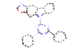 c1ccc(-c2nc(-c3ccccc3)nc(-n3c4ccccc4c4cc5ncoc5cc43)n2)cc1